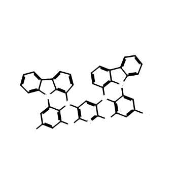 CC(C)(C)c1cc2c3c(c1)-n1c4ccccc4c4cccc(c41)B3c1cc3c(nc1O2)Oc1cc(C(C)(C)C)cc2c1B3c1cccc3c4ccccc4n-2c13